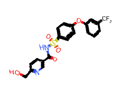 O=C(NS(=O)(=O)c1ccc(Oc2cccc(C(F)(F)F)c2)cc1)c1ccc(CO)nc1